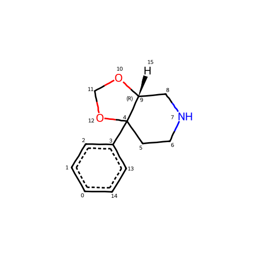 c1ccc(C23CCNC[C@H]2OCO3)cc1